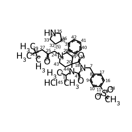 CC(C)N1C(=O)N(Cc2ccc(S(C)(=O)=O)cc2)C(=O)C12CCN(C(C(=O)CC(C)(C)C)[C@@H]1CNC[C@@H]1c1ccccc1)CC2.Cl